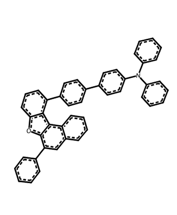 c1ccc(-c2cc3ccccc3c3c2oc2cccc(-c4ccc(-c5ccc(N(c6ccccc6)c6ccccc6)cc5)cc4)c23)cc1